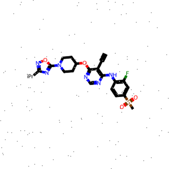 C#Cc1c(Nc2ccc(S(C)(=O)=O)cc2F)ncnc1OC1CCN(c2nc(C(C)C)no2)CC1